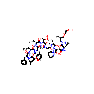 CCCCN(CC(=O)N(C)[C@@H](CC(C)C)C(=O)N[C@@H](CC(=O)N(C)[C@@H](CC(C)C)C(=O)NC[C@@H](COCCO)C(C)=O)C(=O)N1CCCCC1)C(=O)[C@@H](NC(=O)[C@H](CC(C)C)N(C)C(O)[C@H](Cc1ccccc1)N(C)C(=O)[C@H](CC(C)C)NC(=O)[C@H](Cc1ccccc1)N(C)C(=O)[C@@H](C=C(C)C)CC(C)C)[C@@H](C)O